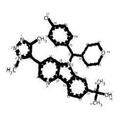 Cc1nnn(C)c1-c1cnc2c3ccc(C(C)(C)O)cc3n(C(c3ccc(Cl)cc3)C3CCOCC3)c2c1